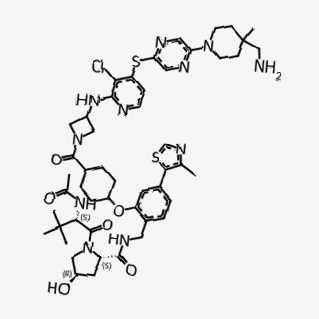 CC(=O)N[C@H](C(=O)N1C[C@H](O)C[C@H]1C(=O)NCc1ccc(-c2scnc2C)cc1OC1CCC(C(=O)N2CC(Nc3nccc(Sc4cnc(N5CCC(C)(CN)CC5)cn4)c3Cl)C2)CC1)C(C)(C)C